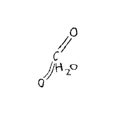 O.O=C=O